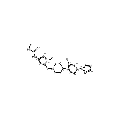 CCNC(=O)Nc1cc(CN2CCC(c3ccc(-n4cccn4)nc3C)CC2)n(C)n1